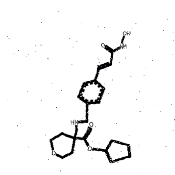 O=C(/C=C/c1ccc(CNC2(C(=O)OC3CCCC3)CCOCC2)cc1)NO